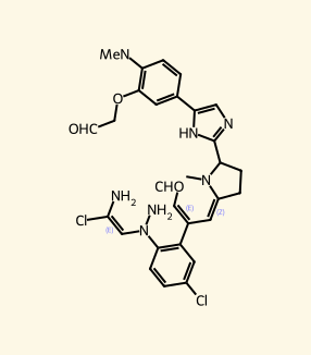 CNc1ccc(-c2cnc(C3CC/C(=C/C(=C\C=O)c4cc(Cl)ccc4N(N)/C=C(\N)Cl)N3C)[nH]2)cc1OCC=O